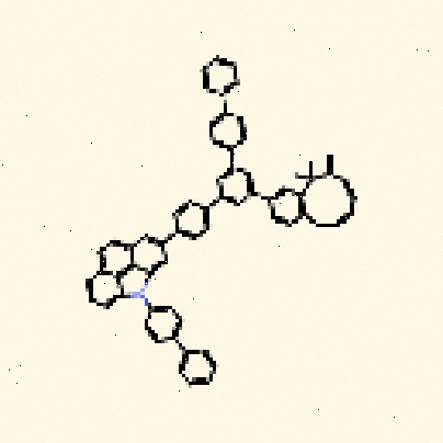 C=C1/C=C\C=C/Cc2ccc(-c3cc(-c4ccc(-c5ccccc5)cc4)cc(-c4ccc(-c5cc6ccc7cccc8c7c6c(c5)n8-c5ccc(-c6ccccc6)cc5)cc4)c3)cc2C1(C)C